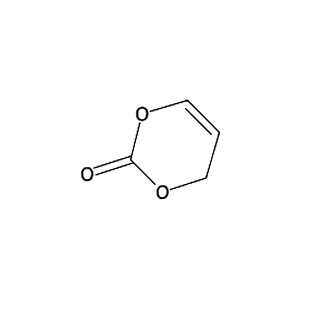 O=C1OC=CCO1